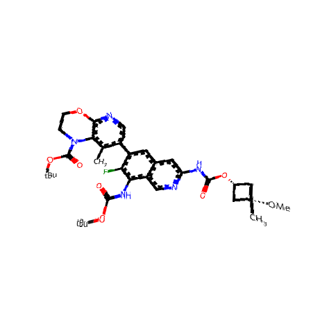 CO[C@]1(C)C[C@H](OC(=O)Nc2cc3cc(-c4cnc5c(c4C)N(C(=O)OC(C)(C)C)CCO5)c(F)c(NC(=O)OC(C)(C)C)c3cn2)C1